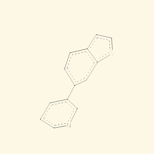 [c]1c(-c2cccnc2)ccc2ccsc12